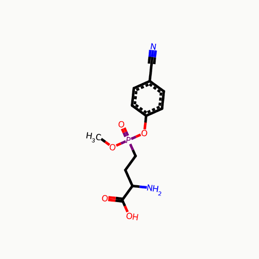 COP(=O)(CCC(N)C(=O)O)Oc1ccc(C#N)cc1